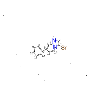 Brc1cnc2cc(-c3ccccc3)ccn12